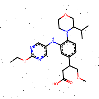 CCOc1ncc(Nc2cc(C(COC)CC(=O)O)ccc2N2CCOCC2C(C)C)cn1